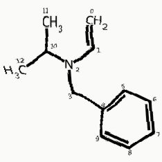 C=CN(Cc1ccccc1)C(C)C